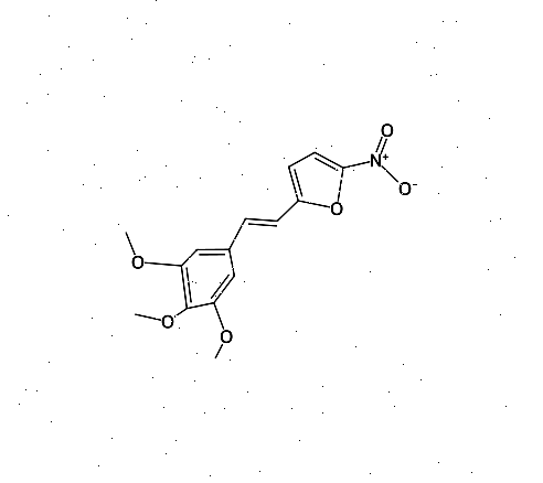 COc1cc(C=Cc2ccc([N+](=O)[O-])o2)cc(OC)c1OC